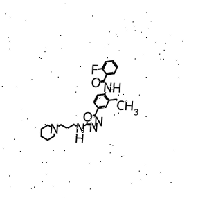 CCc1cc(-c2nnc(NCCCN3CCCCC3)o2)ccc1NC(=O)c1ccccc1F